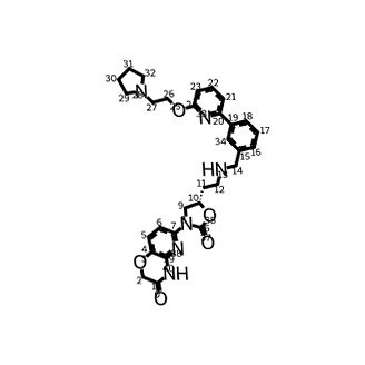 O=C1COc2ccc(N3C[C@H](CCNCc4cccc(-c5cccc(OCCN6CCCC6)n5)c4)OC3=O)nc2N1